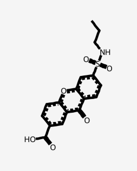 CCCNS(=O)(=O)c1ccc2c(=O)c3cc(C(=O)O)ccc3oc2c1